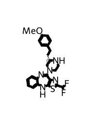 COc1ccc(CC[C@H]2CN(C3=Nc4ccccc4Nc4sc(C(F)F)nc43)CCN2)cc1